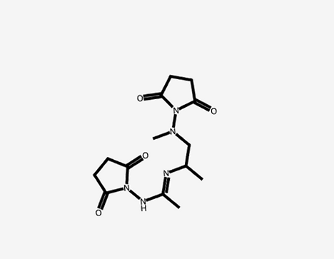 C/C(=N\C(C)CN(C)N1C(=O)CCC1=O)NN1C(=O)CCC1=O